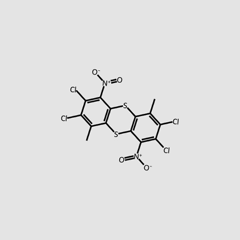 Cc1c(Cl)c(Cl)c([N+](=O)[O-])c2c1Sc1c(c(C)c(Cl)c(Cl)c1[N+](=O)[O-])S2